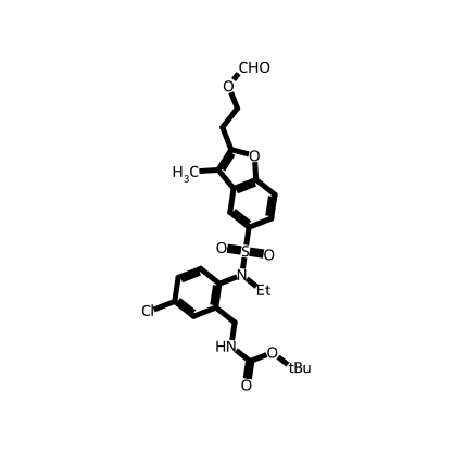 CCN(c1ccc(Cl)cc1CNC(=O)OC(C)(C)C)S(=O)(=O)c1ccc2oc(CCOC=O)c(C)c2c1